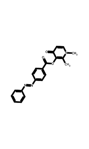 Cc1c(OC(=O)c2ccc(/N=N/c3ccccc3)cc2)c(=O)ccn1C